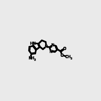 COC(=O)c1cnc(N2CCc3[nH]c4ccc(N)cc4c3C2)nc1